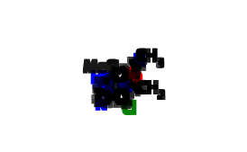 C=CC(=O)Nc1cc(Nc2ncc3cncc(-c4cccc(Cl)c4)c3n2)c(OC)cc1OC1CN(C)C1